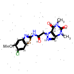 COc1cc2nc(NC(=O)Cn3ncc4c3c(=O)n(C)c(=O)n4C)sc2cc1Cl